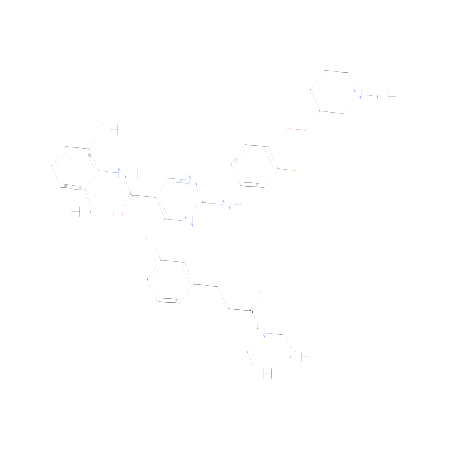 CCN(CC)C(=O)CCc1cccc(Oc2nc(Nc3ccc(OCC4CCCN(C)C4)c(F)c3)ncc2C(=O)Nc2c(C)cccc2C)c1